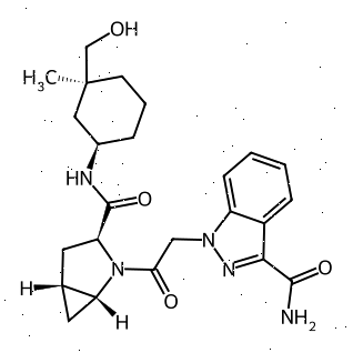 C[C@]1(CO)CCC[C@@H](NC(=O)[C@@H]2C[C@H]3C[C@H]3N2C(=O)Cn2nc(C(N)=O)c3ccccc32)C1